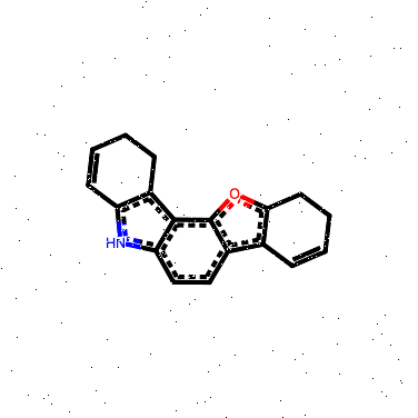 C1=Cc2c(oc3c2ccc2[nH]c4c(c23)CCC=C4)CC1